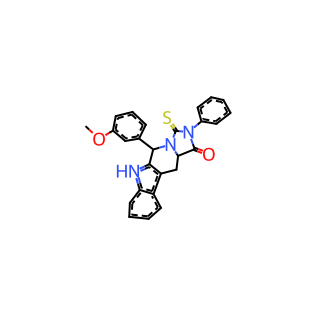 COc1cccc(C2c3[nH]c4ccccc4c3CC3C(=O)N(c4ccccc4)C(=S)N32)c1